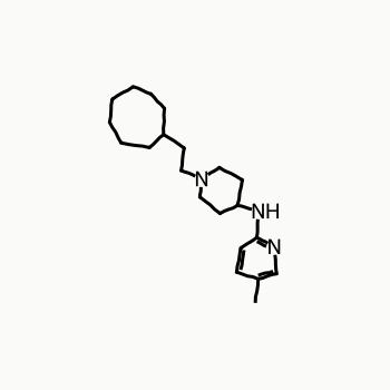 Cc1ccc(NC2CCN(CCC3CCCCCCC3)CC2)nc1